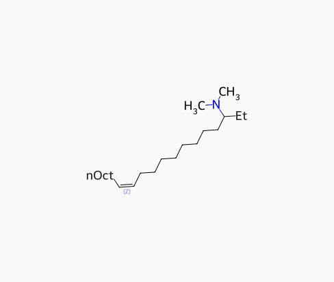 [CH2]CC(CCCCCCCC/C=C\CCCCCCCC)N(C)C